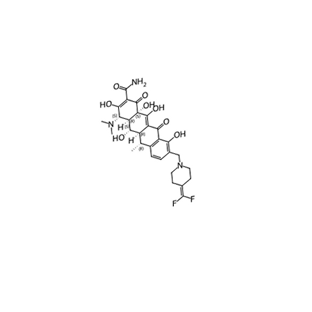 C[C@H]1c2ccc(CN3CCC(=C(F)F)CC3)c(O)c2C(=O)C2=C(O)[C@]3(O)C(=O)C(C(N)=O)=C(O)[C@@H](N(C)C)[C@@H]3[C@@H](O)[C@@H]21